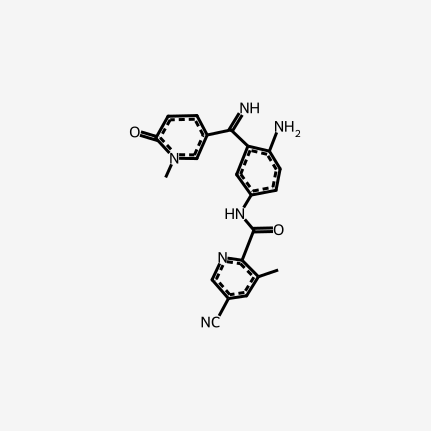 Cc1cc(C#N)cnc1C(=O)Nc1ccc(N)c(C(=N)c2ccc(=O)n(C)c2)c1